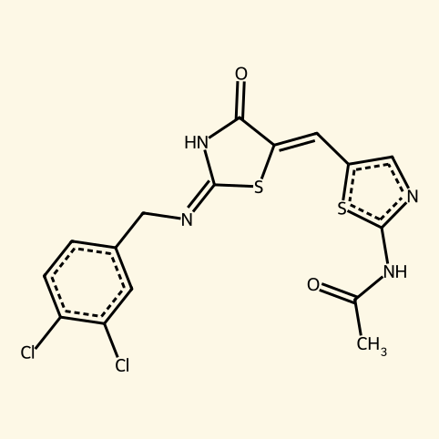 CC(=O)Nc1ncc(C=C2SC(=NCc3ccc(Cl)c(Cl)c3)NC2=O)s1